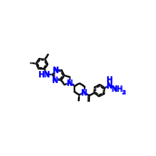 C=C(c1ccc(NN)cc1)N1CC[C@H](N2Cc3cnc(Nc4cc(C)cc(C)c4)nc3C2)C[C@@H]1C